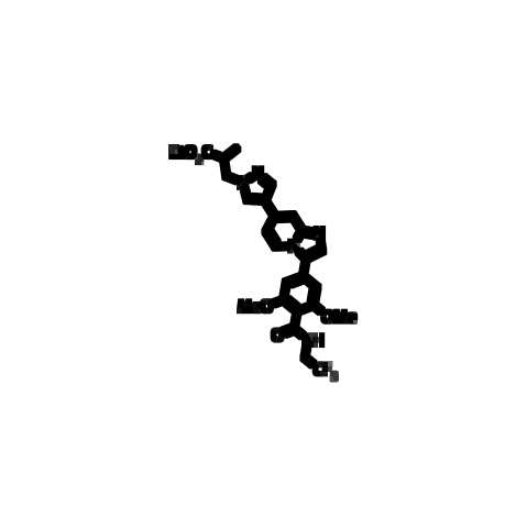 CCOC(=O)C(C)Cn1cc(-c2ccn3c(-c4cc(OC)c(C(=O)NCC(F)(F)F)c(OC)c4)cnc3c2)cn1